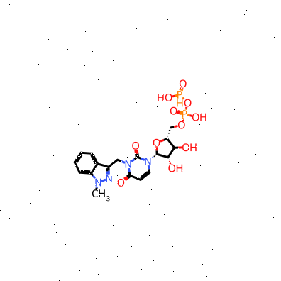 Cn1nc(Cn2c(=O)ccn([C@@H]3O[C@H](COP(=O)(O)O[PH](=O)O)C(O)[C@@H]3O)c2=O)c2ccccc21